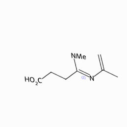 C=C(C)/N=C(/CCC(=O)O)NC